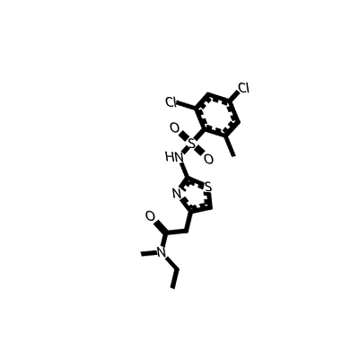 CCN(C)C(=O)Cc1csc(NS(=O)(=O)c2c(C)cc(Cl)cc2Cl)n1